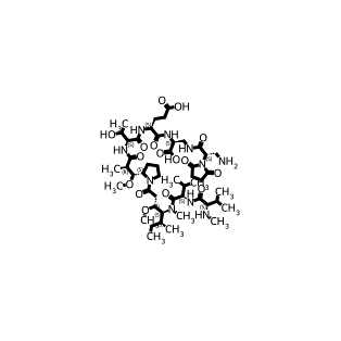 CC[C@H](C)[C@@H]([C@@H](CC(=O)N1CCC[C@H]1C(OC)[C@@H](C)C(=O)N[C@H](C(=O)N[C@@H](CCC(=O)O)C(=O)N[C@@H](CNC(=O)[C@H](CN)N1C(=O)CCC1=O)C(=O)O)C(C)O)OC)N(C)C(=O)[C@@H](NC(=O)[C@@H](NC)C(C)C)C(C)C